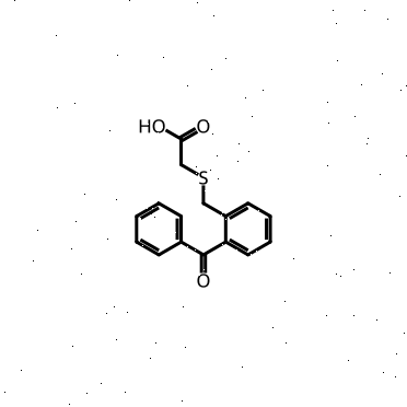 O=C(O)CSCc1ccccc1C(=O)c1ccccc1